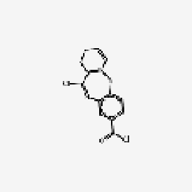 O=C(Cl)c1ccc2c(c1)N=C(Cl)C1=C(C=CCC1)S2